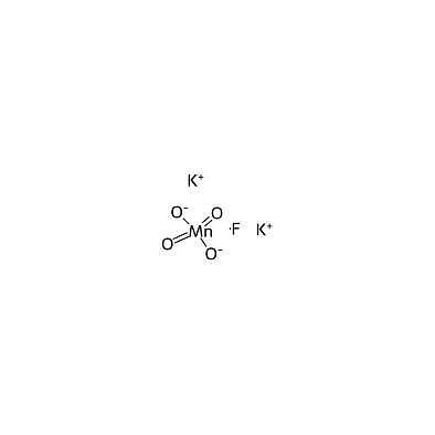 [F].[K+].[K+].[O]=[Mn](=[O])([O-])[O-]